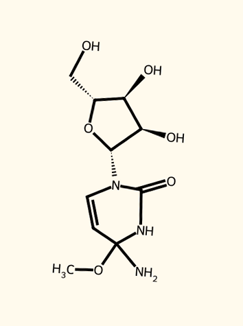 COC1(N)C=CN([C@@H]2O[C@H](CO)[C@@H](O)[C@H]2O)C(=O)N1